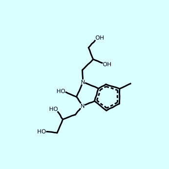 Cc1ccc2c(c1)N(CC(O)CO)C(O)N2CC(O)CO